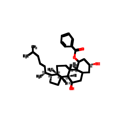 CC(C)CCC[C@@H](C)[C@H]1CC[C@H]2[C@@H]3[C@H](O)CC4C[C@@H](O)CC(OC(=O)c5ccccc5)[C@]4(C)[C@H]3CC[C@]12C